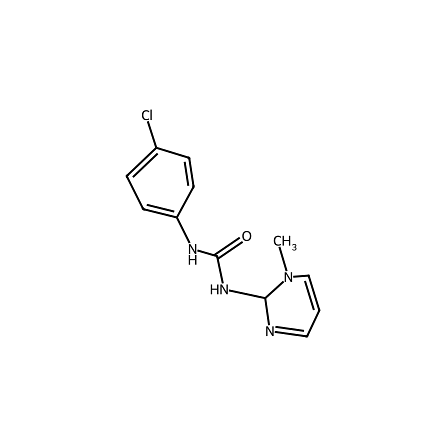 CN1C=CC=NC1NC(=O)Nc1ccc(Cl)cc1